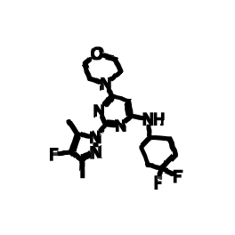 Cc1nn(-c2nc(NC3CCC(F)(F)CC3)cc(N3CCOCC3)n2)c(C)c1F